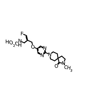 CN1CCC2(CCN(c3ncc(OC/C(=C/F)CNC(=O)O)cn3)CC2)C1=O